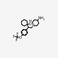 NC1CCN(CC(c2ccc(OC(F)(F)F)cc2)C2(O)CCCCC2)CC1